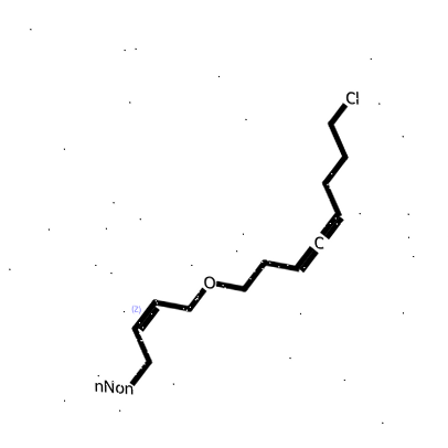 CCCCCCCCCC/C=C\COCCC=C=CCCCCl